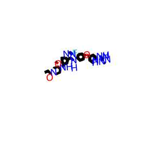 C=CC(=O)N1CCC(Nc2cc3c(Nc4ccc(Oc5ccnc(Nc6nnc[nH]6)c5)cc4F)ncnc3cc2OC)CC1